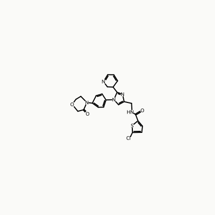 O=C(NCc1cn(-c2ccc(N3CCOCC3=O)cc2)c(C2C=CC=NC2)n1)c1ccc(Cl)s1